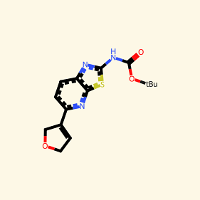 CC(C)(C)OC(=O)Nc1nc2ccc(C3=CCOC3)nc2s1